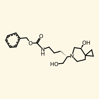 O=C(NCCC[C@@H](CO)N1CCC2(CC2)[C@H](O)C1)OCc1ccccc1